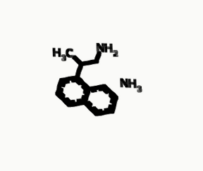 CC(CN)c1cccc2ccccc12.N